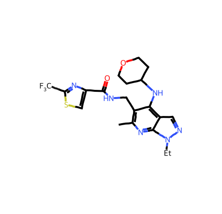 CCn1ncc2c(NC3CCOCC3)c(CNC(=O)c3csc(C(F)(F)F)n3)c(C)nc21